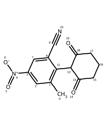 Cc1cc([N+](=O)[O-])cc(C#N)c1C1C(=O)CCCC1=O